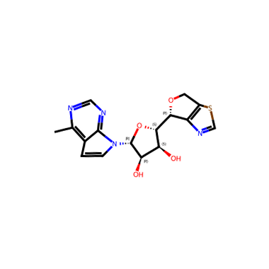 Cc1ncnc2c1ccn2[C@@H]1O[C@H]([C@@H]2OCc3scnc32)[C@@H](O)[C@H]1O